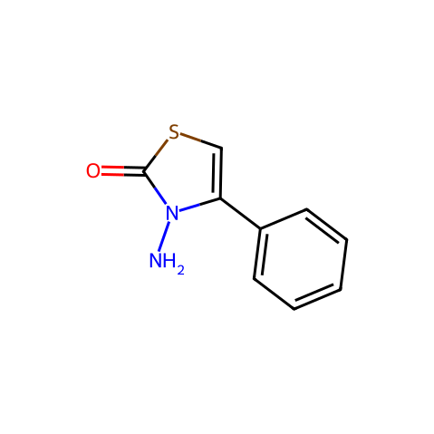 Nn1c(-c2ccccc2)csc1=O